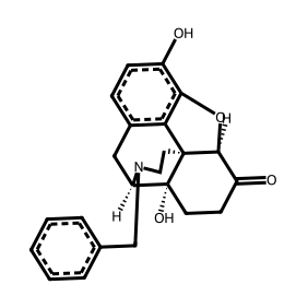 O=C1CC[C@@]2(O)[C@H]3Cc4ccc(O)c5c4[C@@]2(CCN3Cc2ccccc2)[C@H]1O5